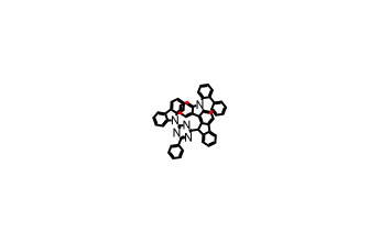 c1ccc(-c2nc(C3c4ccccc4-c4ccc5c(c43)c3ccccc3n5-c3ccccc3-c3ccccc3)nc(-n3c4ccccc4c4ccccc43)n2)cc1